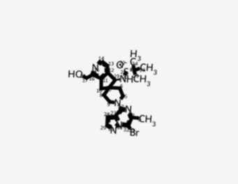 Cc1nc(N2CCC3(CC2)Cc2c(ccnc2CO)[C@H]3N[S@+]([O-])C(C)(C)C)c2ccnn2c1Br